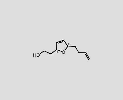 C=CCC[C@@H]1C=C[C@H](CCO)O1